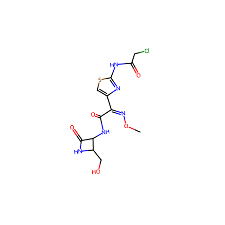 CON=C(C(=O)NC1C(=O)NC1CO)c1csc(NC(=O)CCl)n1